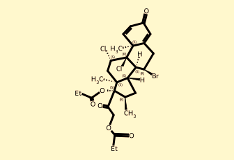 CCC(=O)OCC(=O)[C@]1(OC(=O)CC)[C@H](C)C[C@H]2[C@@H]3[C@H](Br)CC4=CC(=O)C=C[C@]4(C)[C@@]3(Cl)[C@@H](Cl)C[C@@]21C